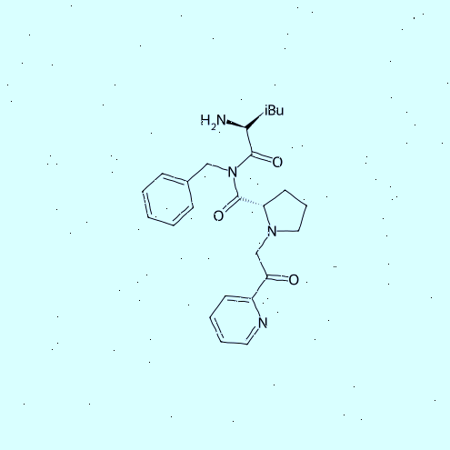 CC[C@H](C)[C@H](N)C(=O)N(Cc1ccccc1)C(=O)[C@@H]1CCCN1CC(=O)c1ccccn1